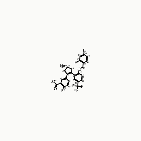 O=C([O-])c1cc(C2=C(c3cc(C(F)(F)F)cnc3OCc3ccc(F)cc3F)CCC2)ccc1F.[Na+]